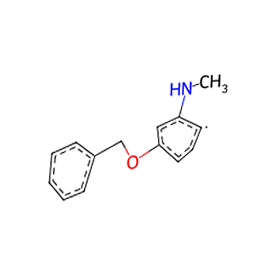 CNc1[c]ccc(OCc2ccccc2)c1